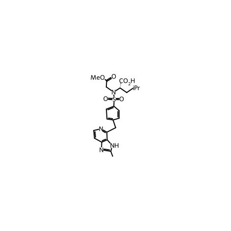 COC(=O)CN([C@@H](CC(C)C)C(=O)O)S(=O)(=O)c1ccc(Cc2nccc3nc(C)[nH]c23)cc1